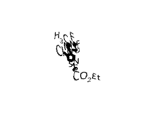 CCOC(=O)CSc1nc2cc(-n3nc(C)n(C(F)F)c3=O)c(Cl)cc2s1